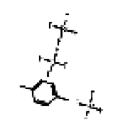 Cc1ccc(C)cc1.F[B-](F)(F)F.F[B-](F)(F)F.F[B-](F)(F)F